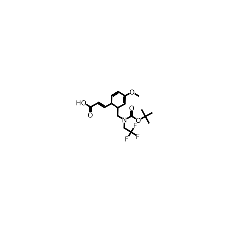 COC1=CC(CN(CC(F)(F)F)C(=O)OC(C)(C)C)C(C=CC(=O)O)C=C1